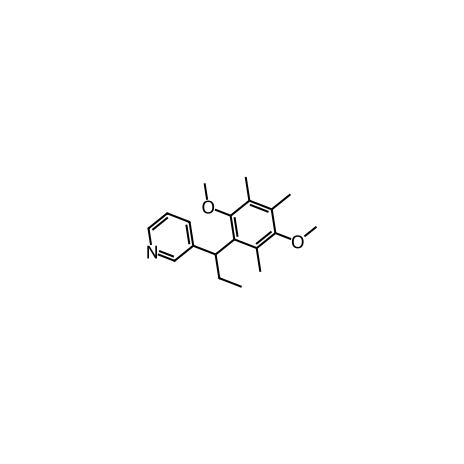 CCC(c1cccnc1)c1c(C)c(OC)c(C)c(C)c1OC